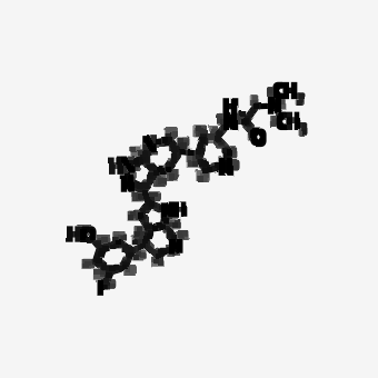 CN(C)CC(=O)Nc1cncc(-c2cnc3[nH]nc(-c4cc5c(-c6cc(O)cc(F)c6)cncc5[nH]4)c3c2)c1